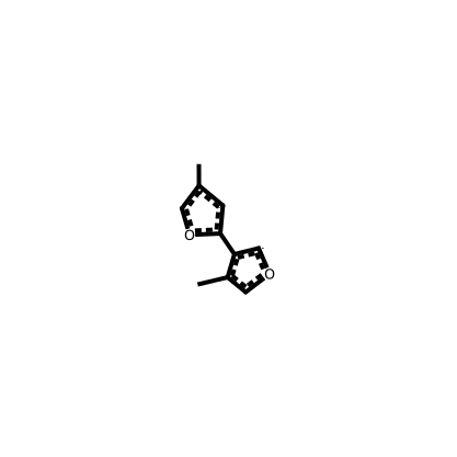 Cc1coc(-c2[c]occ2C)c1